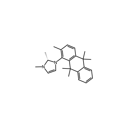 Cc1ccc2c(c1N1C=CN(C)[C@@H]1C)C(C)(C)c1ccccc1C2(C)C